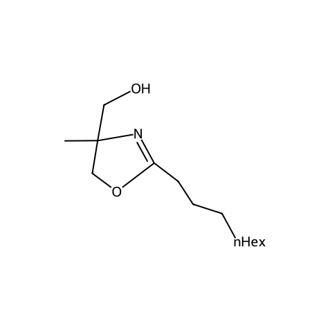 CCCCCCCCCC1=NC(C)(CO)CO1